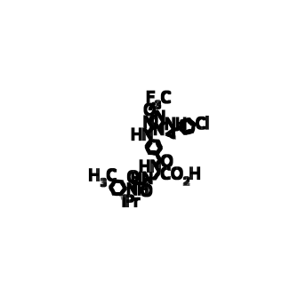 CC(C)[C@@H]1CC[C@@H](C)C[C@H]1NC(=O)C(=O)NC[C@H](NC(=O)c1ccc(Nc2nc(NC3(c4ccc(Cl)cc4)CC3)nc(OCC(F)(F)F)n2)cc1)C(=O)O